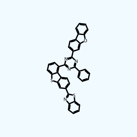 c1ccc(-c2nc(-c3ccc4c(c3)oc3ccccc34)nc(-c3cccc4sc5cc(-c6nc7ccccc7s6)ccc5c34)n2)cc1